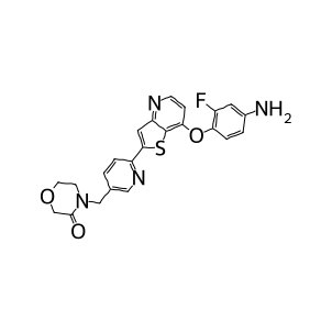 Nc1ccc(Oc2ccnc3cc(-c4ccc(CN5CCOCC5=O)cn4)sc23)c(F)c1